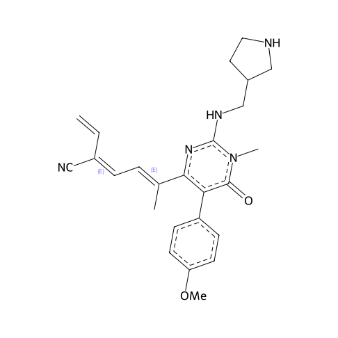 C=C/C(C#N)=C\C=C(/C)c1nc(NCC2CCNC2)n(C)c(=O)c1-c1ccc(OC)cc1